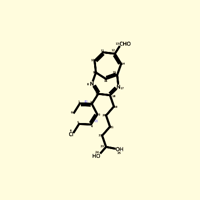 C/C=C(\C=C/CCl)C1=NC2C=CC(C=O)=CC(=C2)N=C1CCCCC(O)O